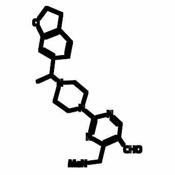 CNCc1nc(N2CCN(C(C)c3ccc4c(c3)OCC4)CC2)ncc1C=O